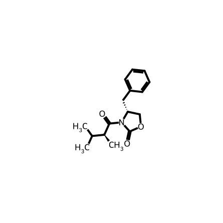 CC(C)[C@H](C)C(=O)N1C(=O)OC[C@H]1Cc1ccccc1